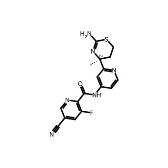 C[C@@]1(c2cc(NC(=O)c3ncc(C#N)cc3F)ccn2)CCSC(N)=N1